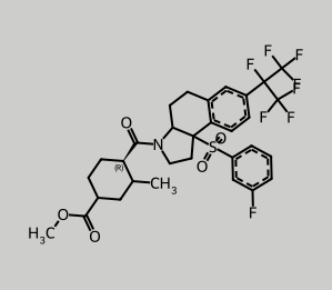 COC(=O)C1CC[C@@H](C(=O)N2CCC3(S(=O)(=O)c4cccc(F)c4)c4ccc(C(F)(C(F)(F)F)C(F)(F)F)cc4CCC23)C(C)C1